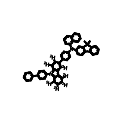 [2H]c1c([2H])c([2H])c2c(c1[2H])c1c([2H])c(-c3ccc(N(c4ccc5c(c4)C(C)(C)c4ccccc4-5)c4cccc5ccccc45)cc3)c([2H])c([2H])c1n2-c1ccc(-c2ccccc2)cc1